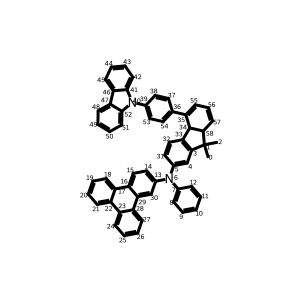 CC1(C)c2cc(N(c3ccccc3)c3ccc4c5ccccc5c5ccccc5c4c3)ccc2C2C(c3ccc(-n4c5ccccc5c5ccccc54)cc3)=CC=CC21